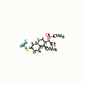 CCC(C(=O)OC)c1ccc2cc(SC(F)F)ccc2c1OC